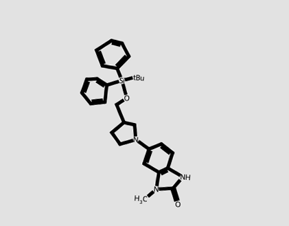 Cn1c(=O)[nH]c2ccc(N3CCC(CO[Si](c4ccccc4)(c4ccccc4)C(C)(C)C)C3)cc21